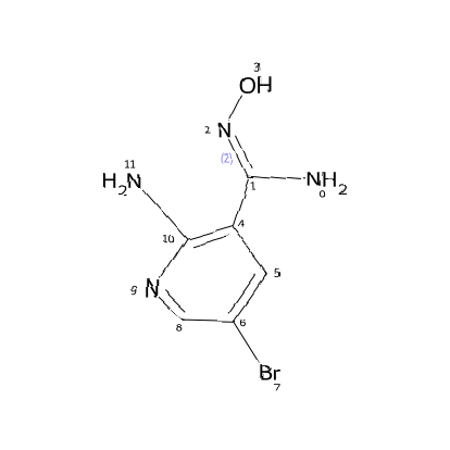 N/C(=N\O)c1cc(Br)cnc1N